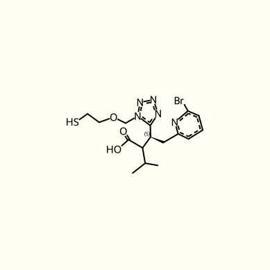 CC(C)C(C(=O)O)[C@H](Cc1cccc(Br)n1)c1nnnn1COCCS